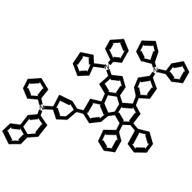 C1=CC(c2ccc3c(c2)c2cc(N(c4ccccc4)c4ccccc4)ccc2c2c(-c4ccc(N(c5ccccc5)c5ccccc5)cc4)cc(-c4ccccc4)c(-c4ccccc4)c32)CC=C1N(c1ccccc1)c1ccc2ccccc2c1